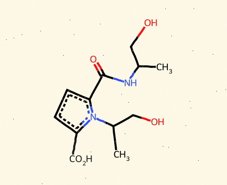 CC(CO)NC(=O)c1ccc(C(=O)O)n1C(C)CO